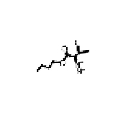 CCCCOC(=O)C(=[N+]=[N-])C(C)=O